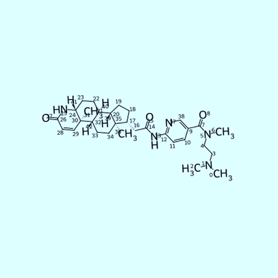 CN(C)CCN(C)C(=O)c1ccc(NC(=O)C[C@H]2CC[C@H]3[C@@H]4CC[C@H]5NC(=O)C=C[C@]5(C)[C@H]4CC[C@]23C)nc1